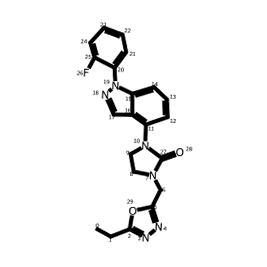 CCc1nnc(CN2CCN(c3cccc4c3cnn4-c3ccccc3F)C2=O)o1